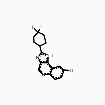 FC1(F)CCC(c2nc3cnc4ccc(Cl)cc4c3[nH]2)CC1